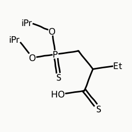 CCC(CP(=S)(OC(C)C)OC(C)C)C(O)=S